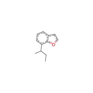 CCC(C)c1cccc2ccoc12